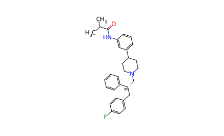 CC(C)C(=O)Nc1cccc(C2CCN(C[C@H](Cc3ccc(F)cc3)c3ccccc3)CC2)c1